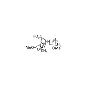 COCCN(C[C@@H]1C[C@H]1C)c1cc(C(=O)O)cc(N(CCOC)S(C)(=O)=O)n1